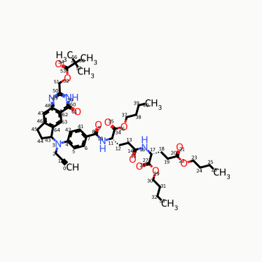 C#CCN(c1ccc(C(=O)N[C@@H](CCC(=O)N[C@H](CCC(=O)OCCCC)C(=O)OCCCC)C(=O)OCCCC)cc1)C1CCc2cc3nc(COC(=O)C(C)(C)C)[nH]c(=O)c3cc21